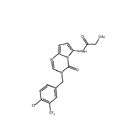 CC(=O)OCC(=O)Nc1ccc2ncn(Cc3ccc(Cl)c(C(F)(F)F)c3)c(=O)n12